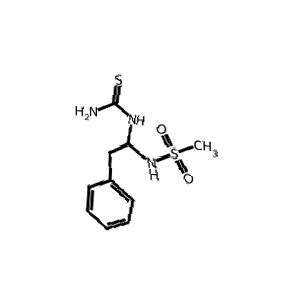 CS(=O)(=O)NC(Cc1ccccc1)NC(N)=S